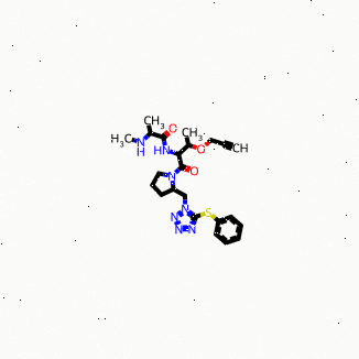 C#CCOC(C)C(NC(=O)C(C)NC)C(=O)N1CCCC1Cn1nnnc1Sc1ccccc1